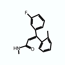 CNC(=O)C=C(c1cccc(F)c1)c1ccccc1C